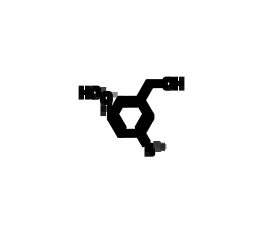 [B+2]c1cccc(CO)c1.[OH-].[OH-]